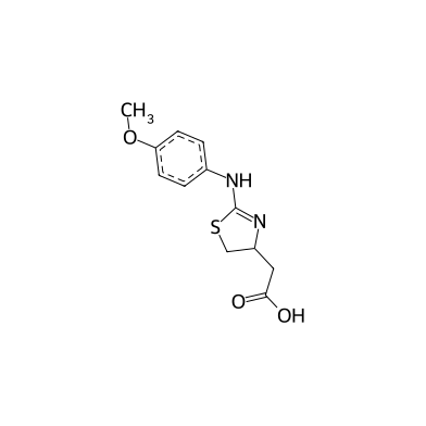 COc1ccc(NC2=NC(CC(=O)O)CS2)cc1